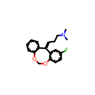 CN(C)CCC=C1c2ccccc2OCOc2ccc(F)cc21